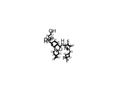 Cc1c(F)c(NC(=O)c2ccc(NS(=O)(=O)CCO)cc2N2CCC3(CC2)CC3)nn1CC1CC(F)(F)C1